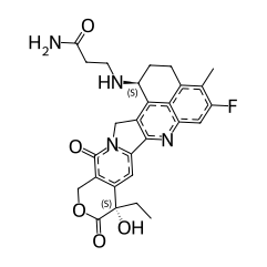 CC[C@@]1(O)C(=O)OCc2c1cc1n(c2=O)Cc2c-1nc1cc(F)c(C)c3c1c2[C@@H](NCCC(N)=O)CC3